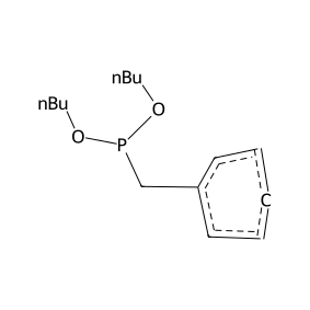 CCCCOP(Cc1ccccc1)OCCCC